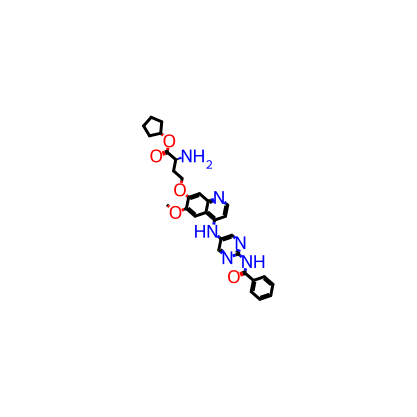 COc1cc2c(Nc3cnc(NC(=O)c4ccccc4)nc3)ccnc2cc1OCC[C@H](N)C(=O)OC1CCCC1